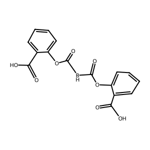 O=C(BC(=O)Oc1ccccc1C(=O)O)Oc1ccccc1C(=O)O